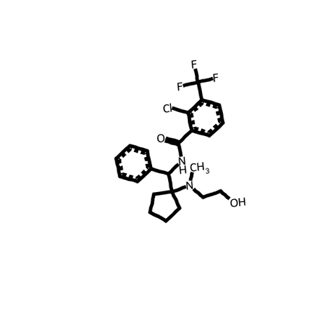 CN(CCO)C1(C(NC(=O)c2cccc(C(F)(F)F)c2Cl)c2ccccc2)CCCC1